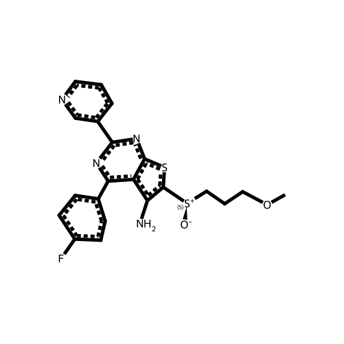 COCCC[S@@+]([O-])c1sc2nc(-c3cccnc3)nc(-c3ccc(F)cc3)c2c1N